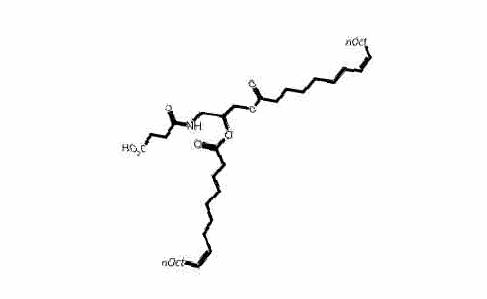 CCCCCCCC/C=C\CCCCCCC(=O)OCC(CNC(=O)CCC(=O)O)OC(=O)CCCCCC/C=C\CCCCCCCC